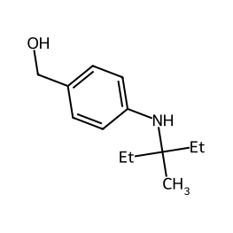 CCC(C)(CC)Nc1ccc(CO)cc1